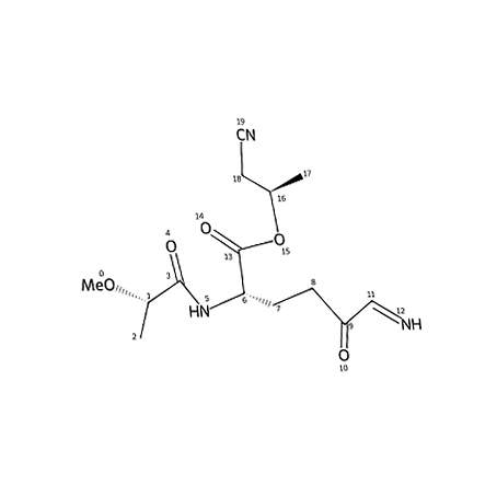 CO[C@@H](C)C(=O)N[C@@H](CCC(=O)C=N)C(=O)O[C@H](C)CC#N